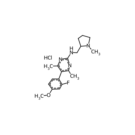 COc1ccc(-c2c(C)nc(NCC3CCCN3C)nc2C)c(F)c1.Cl